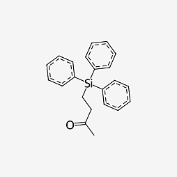 CC(=O)CC[Si](c1ccccc1)(c1ccccc1)c1ccccc1